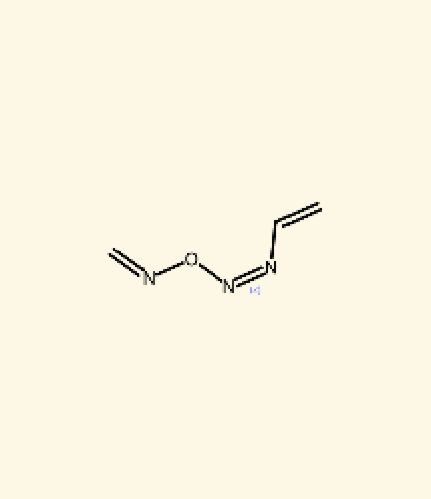 C=C/N=N\ON=C